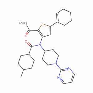 COC(=O)c1sc(C2=CCCCC2)cc1N(C(=O)C1CCC(C)CC1)C1CCN(c2ncccn2)CC1